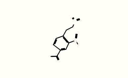 O=C(O)c1ccc(CC[SH](=O)=O)c([N+](=O)[O-])c1